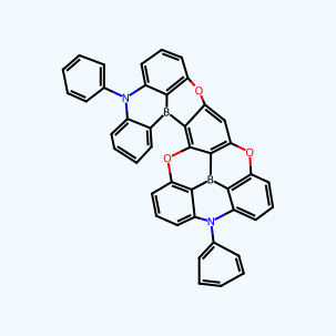 c1ccc(N2c3ccccc3B3c4c(cccc42)Oc2cc4c5c(c23)Oc2cccc3c2B5c2c(cccc2N3c2ccccc2)O4)cc1